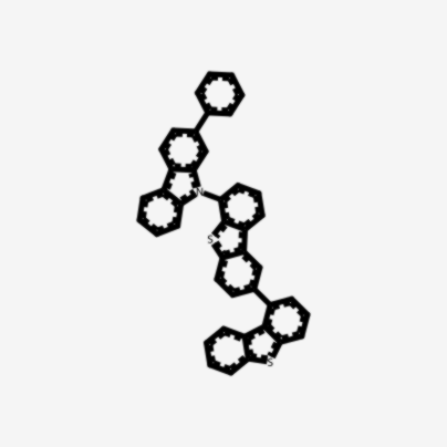 c1ccc(-c2ccc3c4ccccc4n(-c4cccc5c4sc4ccc(-c6cccc7sc8ccccc8c67)cc45)c3c2)cc1